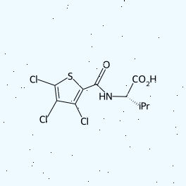 CC(C)[C@H](NC(=O)c1sc(Cl)c(Cl)c1Cl)C(=O)O